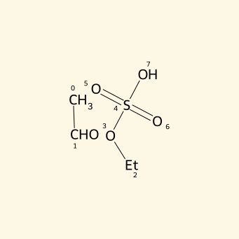 CC=O.CCOS(=O)(=O)O